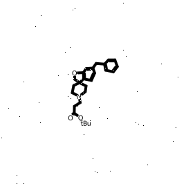 CC(C)(C)OC(=O)CCN1CCC2(CC1)COc1cc(Cc3ccccc3)ccc12